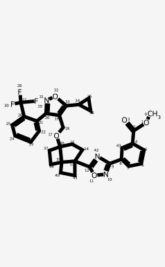 COC(=O)c1cccc(-c2noc(C34CCC5(OCc6c(-c7ccccc7C(F)(F)F)noc6C6CC6)CCC53CC4)n2)c1